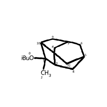 CC(C)COC1(C)C2CC3CC(C2)CC1C3